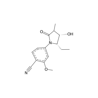 CC[C@H]1[C@@H](O)C(C)C(=O)N1c1ccc(C#N)c(OC)c1